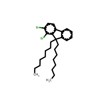 CCCCCCCCC1(CCCCCCCC)c2ccccc2-c2ccc(Br)c(Br)c21